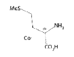 CSCC[C@H](N)C(=O)O.[Co]